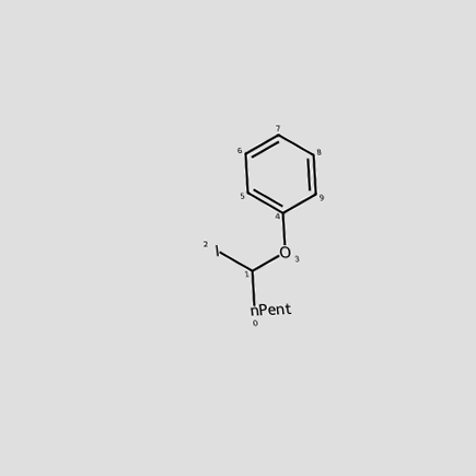 CCCCCC(I)Oc1ccccc1